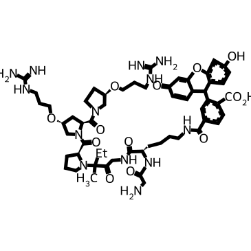 CCC(C)(C(=O)CNC(=O)[C@H](CCCCNC(=O)c1ccc(C(=O)O)c(C2c3ccc(O)cc3OC3=CC(=O)C=CC32)c1)NC(=O)CN)N1CCC[C@H]1C(=O)N1C[C@H](OCCCNC(=N)N)C[C@H]1C(=O)N1CC[C@@H](OCCCNC(=N)N)C1